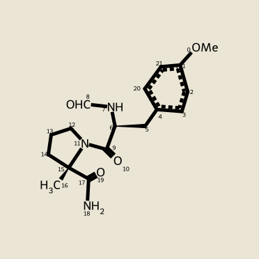 COc1ccc(C[C@H](NC=O)C(=O)N2CCC[C@@]2(C)C(N)=O)cc1